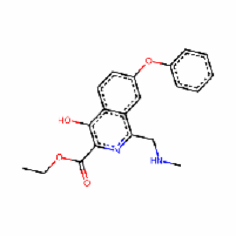 CCOC(=O)c1nc(CNC)c2cc(Oc3ccccc3)ccc2c1O